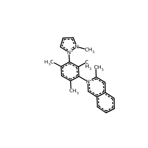 Cc1cc(C)c(-[n+]2cccn2C)c(C)c1-[n+]1cc2ccccc2cc1C